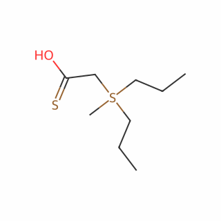 CCCS(C)(CCC)CC(O)=S